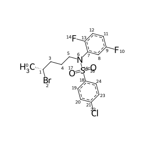 C[C@@H](Br)CCCN(c1cc(F)ccc1F)S(=O)(=O)c1ccc(Cl)cc1